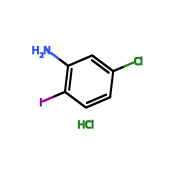 Cl.Nc1cc(Cl)ccc1I